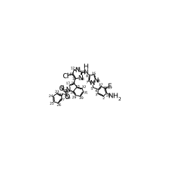 Nc1ccc(Cn2cc(Nc3ncc(Cl)c(-c4cn(S(=O)(=O)c5ccccc5)c5ccccc45)n3)cn2)cc1F